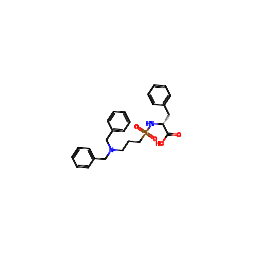 O=C(O)[C@@H](Cc1ccccc1)NS(=O)(=O)CCCN(Cc1ccccc1)Cc1ccccc1